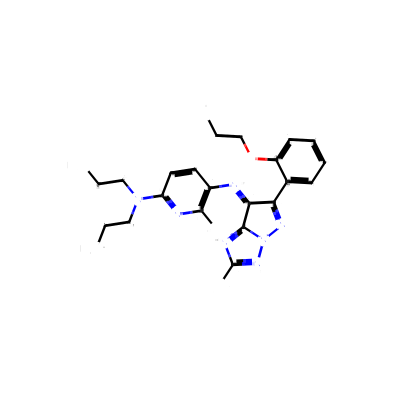 CCCOc1ccccc1C1=Nn2nc(C)nc2/C1=N\c1ccc(N(CCC)CCC)nc1C